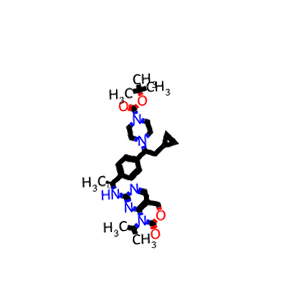 CC(C)N1C(=O)OCc2cnc(N[C@@H](C)c3ccc(C(CC4CC4)N4CCN(C(=O)OC(C)(C)C)CC4)cc3)nc21